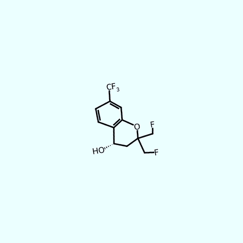 O[C@H]1CC(CF)(CF)Oc2cc(C(F)(F)F)ccc21